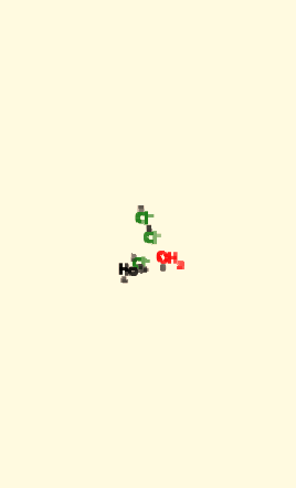 O.[Cl-].[Cl-].[Cl-].[Ho+3]